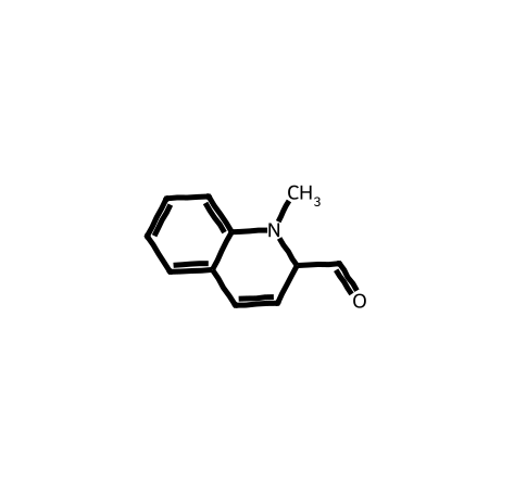 CN1c2ccccc2C=CC1C=O